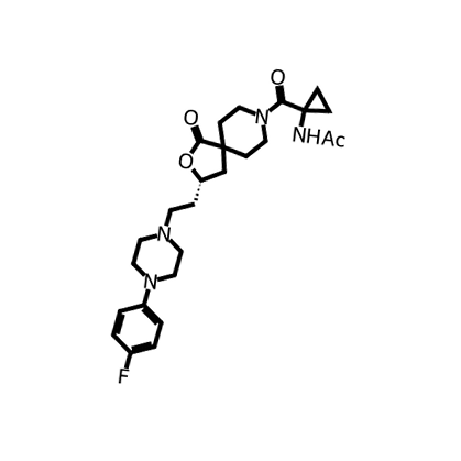 CC(=O)NC1(C(=O)N2CCC3(CC2)C[C@H](CCN2CCN(c4ccc(F)cc4)CC2)OC3=O)CC1